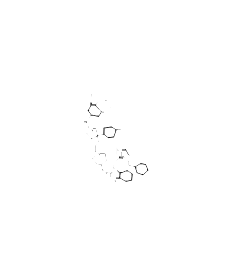 COc1cc(C(=O)N2CCC(CCN3CCC(Nc4nc5ccccc5n4Cc4nccn4Cc4ccccc4)CC3)(c3ccc(F)cc3)C2)cc(OC)c1OC